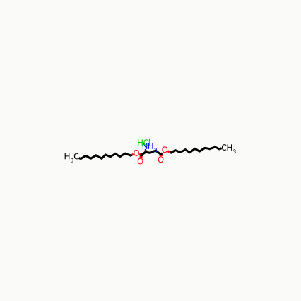 CCCCCCCCCCCCOC(=O)CC[C@H](N)C(=O)OCCCCCCCCCCCC.Cl